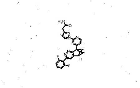 CC1(C)[C@H]2CC[C@@]1(c1ccnc(-n3ccc(CC(N)=O)n3)n1)c1nnc(-c3c(F)cccc3F)cc12